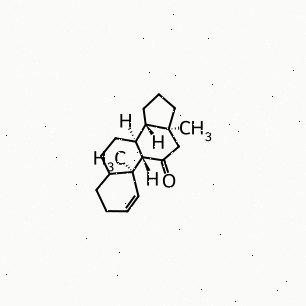 C[C@@]12CCC[C@H]1[C@@H]1CCC3CCC=C[C@]3(C)[C@H]1C(=O)C2